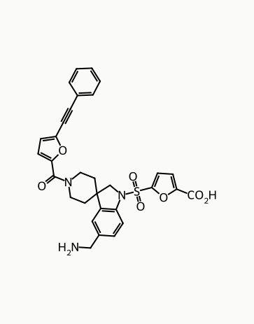 NCc1ccc2c(c1)C1(CCN(C(=O)c3ccc(C#Cc4ccccc4)o3)CC1)CN2S(=O)(=O)c1ccc(C(=O)O)o1